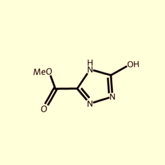 COC(=O)c1nnc(O)[nH]1